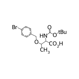 CC(OCc1ccc(Br)cc1)C(NC(=O)OC(C)(C)C)C(=O)O